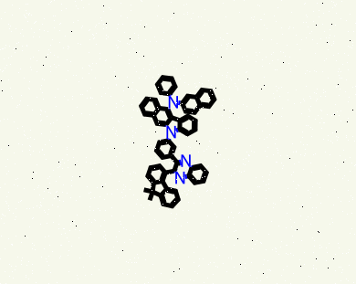 CC1(C)c2ccccc2-c2c(-c3nc4ccccc4nc3-c3cccc(-n4c5ccccc5c5c(N(c6ccccc6)c6ccc7ccccc7c6)c6ccccc6cc54)c3)cccc21